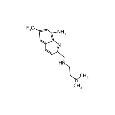 CN(C)CCNCc1ccc2cc(C(F)(F)F)cc(N)c2n1